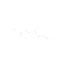 CN(C)/C=N/NC(=O)c1cc(N)cs1